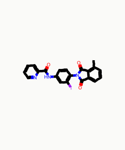 Cc1cccc2c1C(=O)N(c1ccc(NC(=O)c3ccccn3)cc1I)C2=O